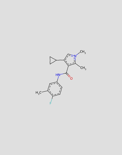 Cc1cc(NC(=O)c2c(C3CC3)cn(C)c2C)ccc1F